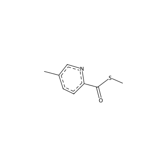 CSC(=O)c1ccc(C)cn1